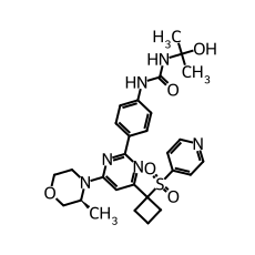 C[C@H]1COCCN1c1cc(C2(S(=O)(=O)c3ccncc3)CCC2)nc(-c2ccc(NC(=O)NC(C)(C)O)cc2)n1